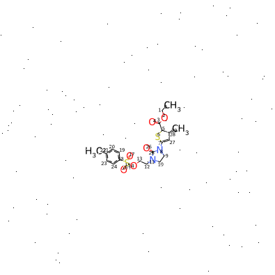 CCOC(=O)C1SC(N2CCN(CCOS(=O)(=O)c3ccc(C)cc3)C2=O)=CC1C